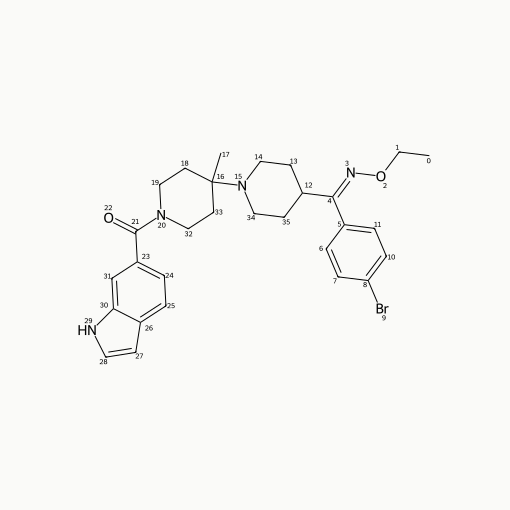 CCON=C(c1ccc(Br)cc1)C1CCN(C2(C)CCN(C(=O)c3ccc4cc[nH]c4c3)CC2)CC1